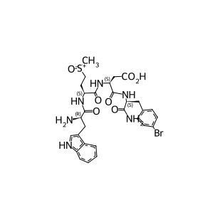 C[S+]([O-])CC[C@H](NC(=O)[C@H](N)Cc1c[nH]c2ccccc12)C(=O)N[C@@H](CC(=O)O)C(=O)N[C@@H](Cc1ccc(Br)cc1)C(N)=O